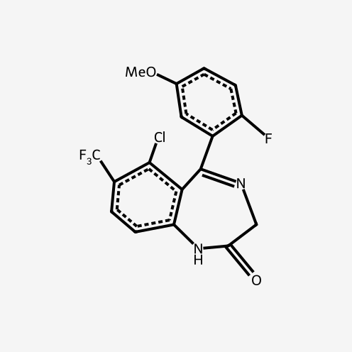 COc1ccc(F)c(C2=NCC(=O)Nc3ccc(C(F)(F)F)c(Cl)c32)c1